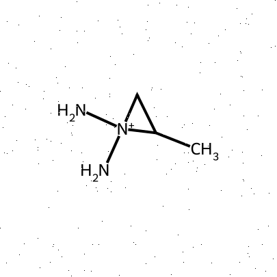 CC1C[N+]1(N)N